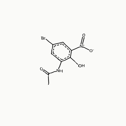 CC(=O)Nc1cc(Br)cc([N+](=O)[O-])c1O